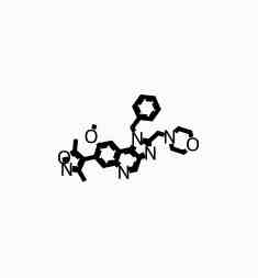 COc1cc2c(cc1-c1c(C)noc1C)ncc1nc(CN3CCOCC3)n(Cc3ccccc3)c12